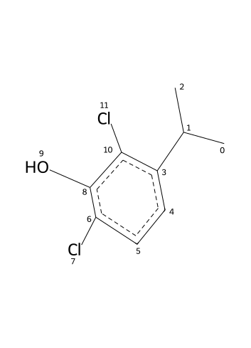 CC(C)c1ccc(Cl)c(O)c1Cl